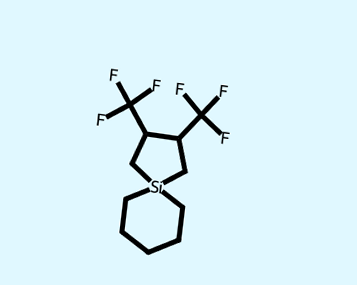 FC(F)(F)C1C[Si]2(CCCCC2)CC1C(F)(F)F